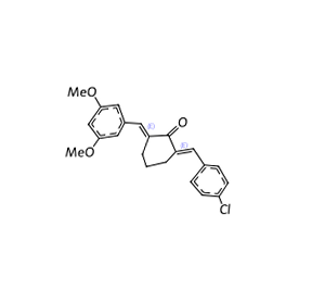 COc1cc(/C=C2\CCC/C(=C\c3ccc(Cl)cc3)C2=O)cc(OC)c1